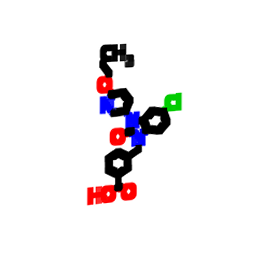 CCCOc1ccc(-n2c(=O)n(Cc3cccc(C(=O)O)c3)c3ccc(Cl)cc32)cn1